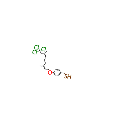 CC(=CCOc1ccc(CS)cc1)CCC=C(C)CC(Cl)(Cl)Cl